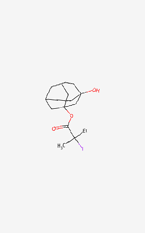 CCC(C)(I)C(=O)OC12CC3CC(CC(O)(C3)C1)C2